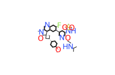 COc1ccc([C@H]2C[C@]3(C2)C(=O)N(C)c2cnc4cc(F)c(-c5cnc(OCCNC(C)C)c(NS(C)(=O)=O)c5)cc4c23)cc1